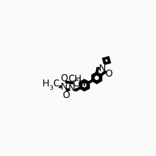 CCN1C(=O)N(Cc2ccc(-c3ccc4c(c3)CN(C3CCC3)C4=O)cc2)C(C)(C)C1=O